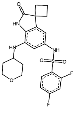 O=C1Nc2c(NC3CCOCC3)cc(NS(=O)(=O)c3ccc(F)cc3F)cc2C12CCC2